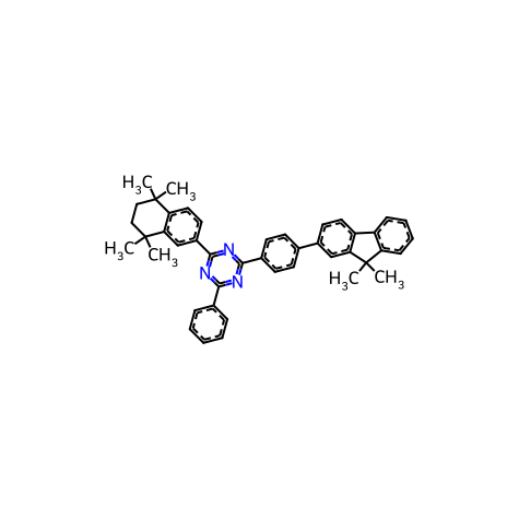 CC1(C)CCC(C)(C)c2cc(-c3nc(-c4ccccc4)nc(-c4ccc(-c5ccc6c(c5)C(C)(C)c5ccccc5-6)cc4)n3)ccc21